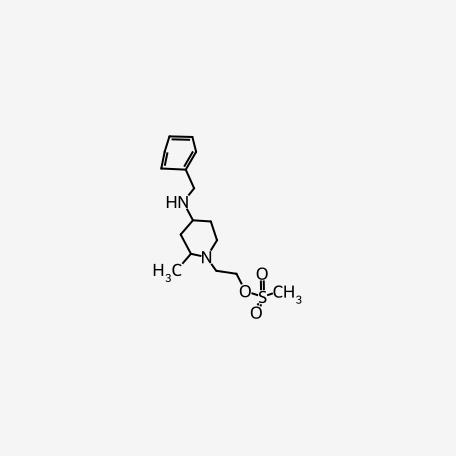 CC1CC(NCc2ccccc2)CCN1CCOS(C)(=O)=O